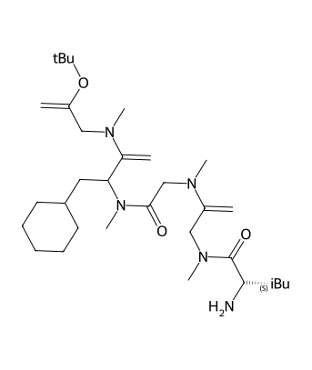 C=C(CN(C)C(=C)C(CC1CCCCC1)N(C)C(=O)CN(C)C(=C)CN(C)C(=O)C(N)[C@@H](C)CC)OC(C)(C)C